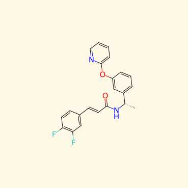 C[C@H](NC(=O)C=Cc1ccc(F)c(F)c1)c1cccc(Oc2ccccn2)c1